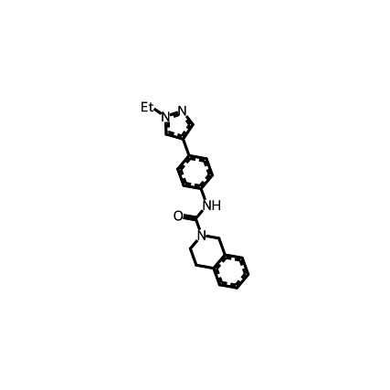 CCn1cc(-c2ccc(NC(=O)N3CCc4ccccc4C3)cc2)cn1